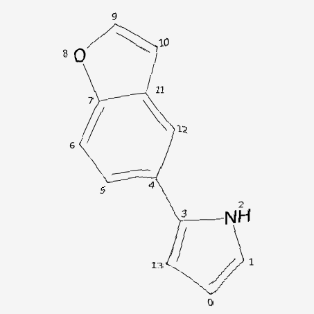 c1c[nH]c(-c2ccc3occc3c2)c1